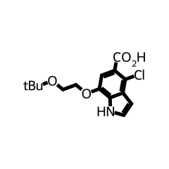 CC(C)(C)OCCOc1cc(C(=O)O)c(Cl)c2cc[nH]c12